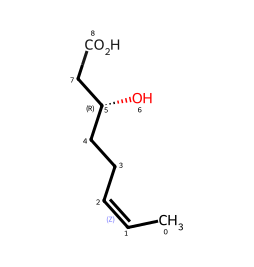 C/C=C\CC[C@@H](O)CC(=O)O